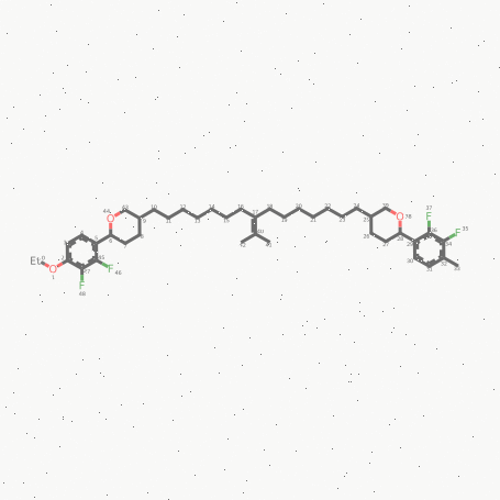 CCOc1ccc(C2CCC(CCCCCCCC(CCCCCCCC3CCC(c4ccc(C)c(F)c4F)OC3)=C(C)C)CO2)c(F)c1F